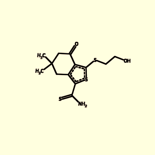 CC1(C)CC(=O)c2c(SCCO)sc(C(N)=S)c2C1